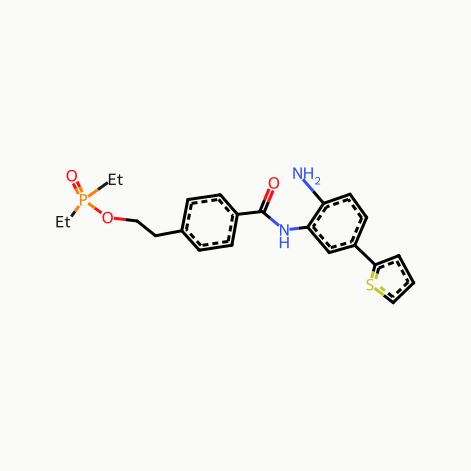 CCP(=O)(CC)OCCc1ccc(C(=O)Nc2cc(-c3cccs3)ccc2N)cc1